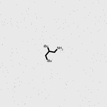 CCC(C)CC(CN)C(C)CC